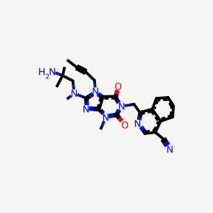 CC#CCn1c(N(C)CC(C)(C)N)nc2c1c(=O)n(Cc1ncc(C#N)c3ccccc13)c(=O)n2C